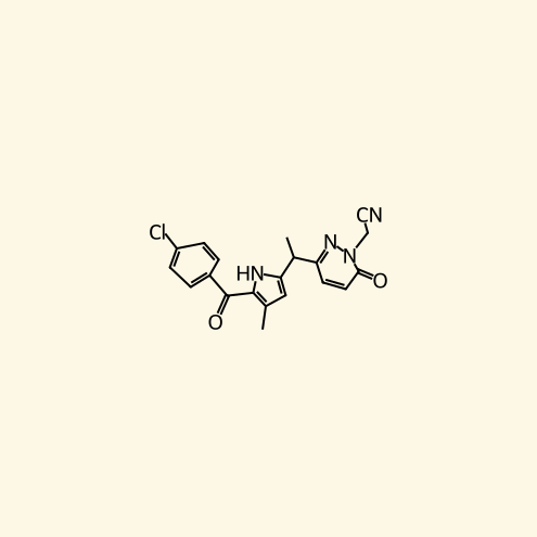 Cc1cc(C(C)c2ccc(=O)n(CC#N)n2)[nH]c1C(=O)c1ccc(Cl)cc1